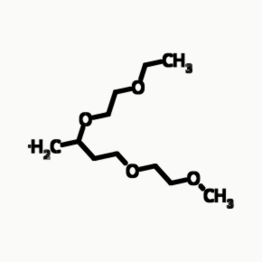 [CH2]C(CCOCCOC)OCCOCC